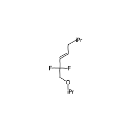 CC(C)C/C=C/C(F)(F)COC(C)C